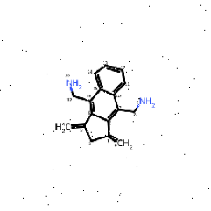 C=C1CC(=C)c2c1c(CN)c1ccccc1c2CN